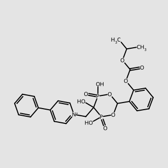 CC(C)OC(=O)Oc1ccccc1C1OP(=O)(O)C(O)(C[n+]2ccc(-c3ccccc3)cc2)P(=O)(O)O1